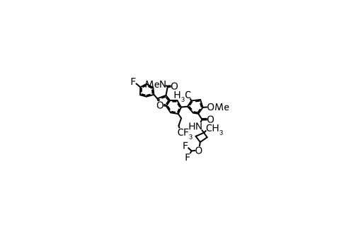 CNC(=O)c1c(-c2ccc(F)cc2)oc2cc(CCC(F)(F)F)c(-c3cc(C(=O)NC4(C)CC(OC(F)F)C4)c(OC)cc3C)cc12